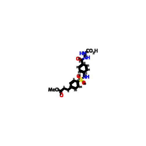 COC(=O)CCc1ccc(S(=O)(=O)Nc2ccc(C(=O)NNC(=O)O)cc2)cc1